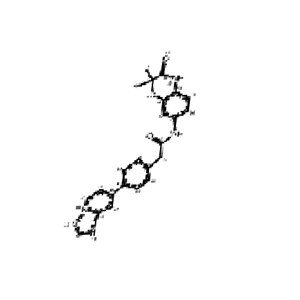 CC1(C)Oc2cc(NC(=O)Cc3ccc(-c4ccn5ncnc5c4)cc3)ccc2NC1=O